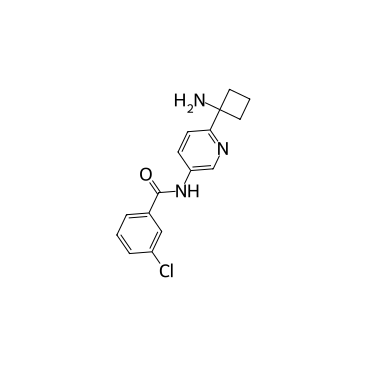 NC1(c2ccc(NC(=O)c3cccc(Cl)c3)cn2)CCC1